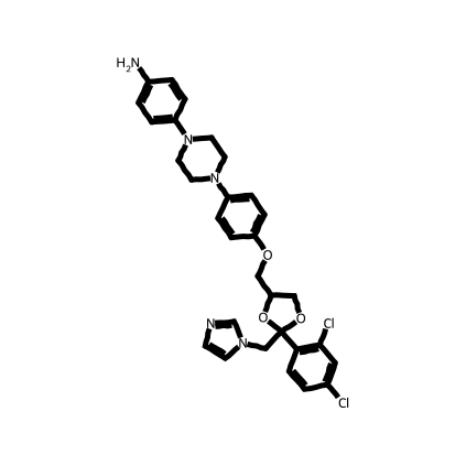 Nc1ccc(N2CCN(c3ccc(OCC4COC(Cn5ccnc5)(c5ccc(Cl)cc5Cl)O4)cc3)CC2)cc1